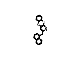 c1ccc2c(c1)Oc1cc(Cc3cccc4ccccc34)nnc1O2